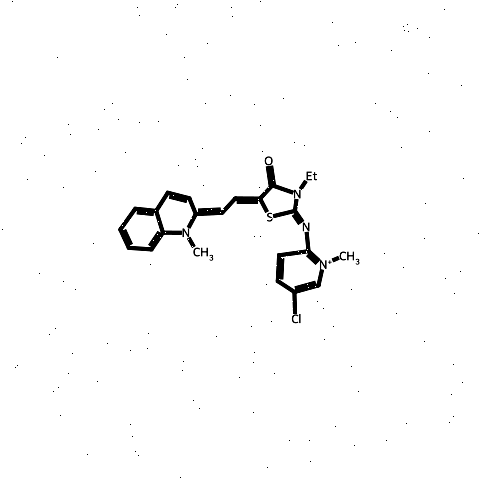 CCN1C(=O)/C(=C/C=C2\C=Cc3ccccc3N2C)S/C1=N\c1ccc(Cl)c[n+]1C